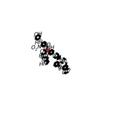 CC(C)Oc1ccccc1[C@H]1CN(Cc2ccc3c(c2)OCCO3)CCN1C1CC2(CCN(c3ccc(C(=O)NS(=O)(=O)c4ccc(NC[C@H]5CC[C@](C)(O)CC5)c([N+](=O)[O-])c4)c(N4c5cc6cc[nH]c6nc5O[C@H]5COCC[C@@H]54)c3)CC2)C1